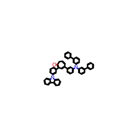 C1=CC(c2cccc(N(c3cccc(-c4ccccc4)c3)c3cccc(-c4ccccc4)c3)c2)=Cc2c(oc3ccc(-n4c5ccccc5c5ccccc54)cc23)C1